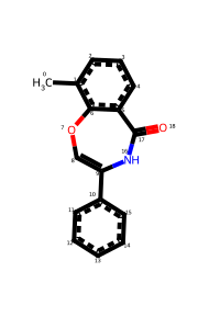 Cc1cccc2c1OC=C(c1ccccc1)NC2=O